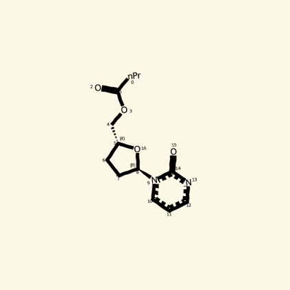 CCCC(=O)OC[C@H]1[CH][CH][C@H](n2cccnc2=O)O1